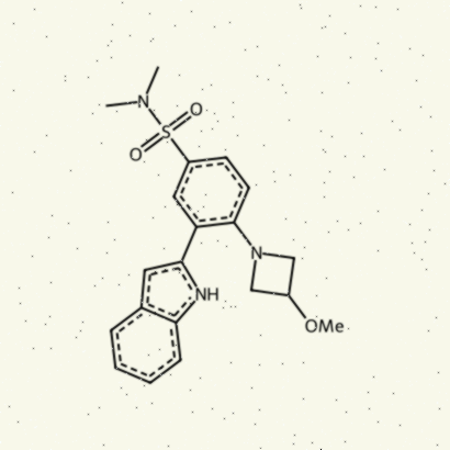 COC1CN(c2ccc(S(=O)(=O)N(C)C)cc2-c2cc3ccccc3[nH]2)C1